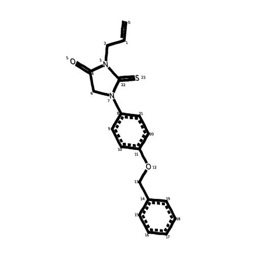 C=CCN1C(=O)CN(c2ccc(OCc3ccccc3)cc2)C1=S